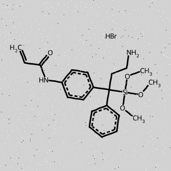 Br.C=CC(=O)Nc1ccc(C(CCN)(c2ccccc2)[Si](OC)(OC)OC)cc1